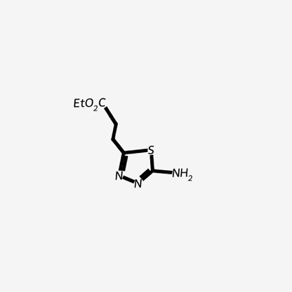 CCOC(=O)CCc1nnc(N)s1